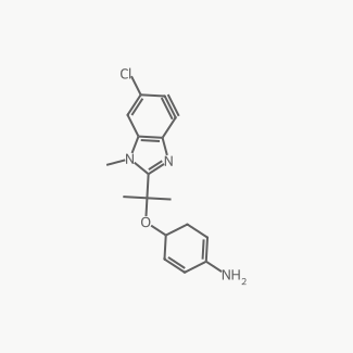 Cn1c(C(C)(C)OC2C=CC(N)=CC2)nc2c#cc(Cl)cc21